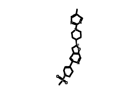 Cc1cnc(N2CCC([C@@H]3Cc4cc(C5=CCN(S(C)(=O)=O)CC5)ncc4O3)CC2)nc1